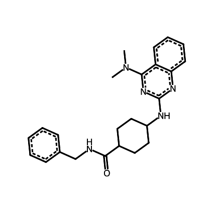 CN(C)c1nc(NC2CCC(C(=O)NCc3ccccc3)CC2)nc2ccccc12